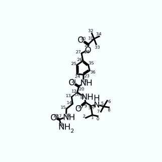 CC(C)[C@H](NC(C)(C)C)C(=O)N[C@@H](CCCNC(N)=O)C(=O)Nc1ccc(COC(=O)C(C)(C)C)cc1